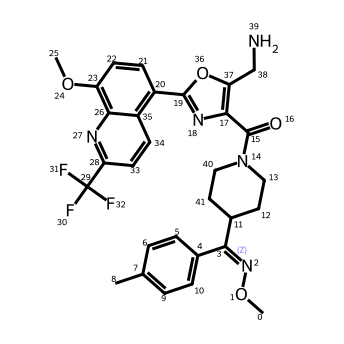 CO/N=C(\c1ccc(C)cc1)C1CCN(C(=O)c2nc(-c3ccc(OC)c4nc(C(F)(F)F)ccc34)oc2CN)CC1